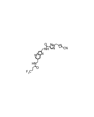 N#CC12CC(Cn3ncc(C(=O)NCc4cn5ncc(CNC(=O)CCC(F)(F)F)cc5n4)n3)(C1)C2